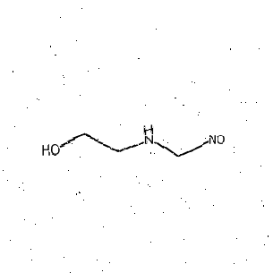 O=NCNCCO